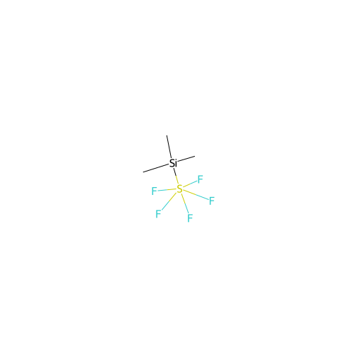 C[Si](C)(C)S(F)(F)(F)(F)F